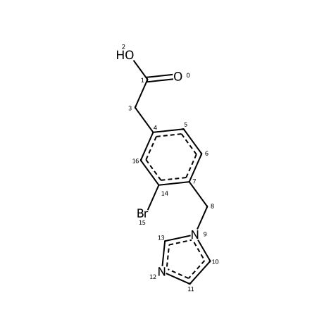 O=C(O)Cc1ccc(Cn2ccnc2)c(Br)c1